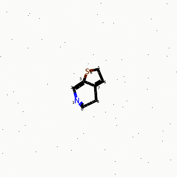 C1=NC=C2SCC=C2C1